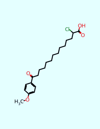 COc1ccc(C(=O)CCCCCCCCCCCC(Cl)C(=O)O)cc1